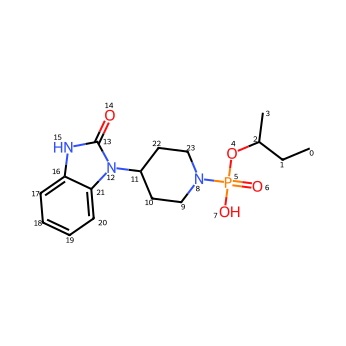 CCC(C)OP(=O)(O)N1CCC(n2c(=O)[nH]c3ccccc32)CC1